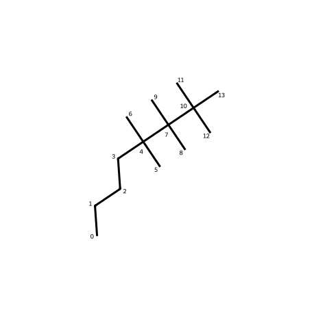 CCCCC(C)(C)C(C)(C)C(C)(C)C